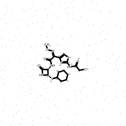 CO/N=C(\C(=O)N[C@@H]1C(=O)N[C@@H]1SC1CCCCC1)c1csc(NC(=O)CCl)n1